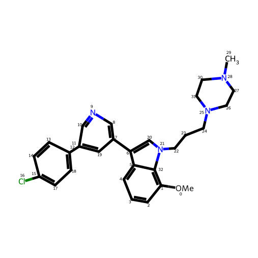 COc1cccc2c(-c3cncc(-c4ccc(Cl)cc4)c3)cn(CCCN3CCN(C)CC3)c12